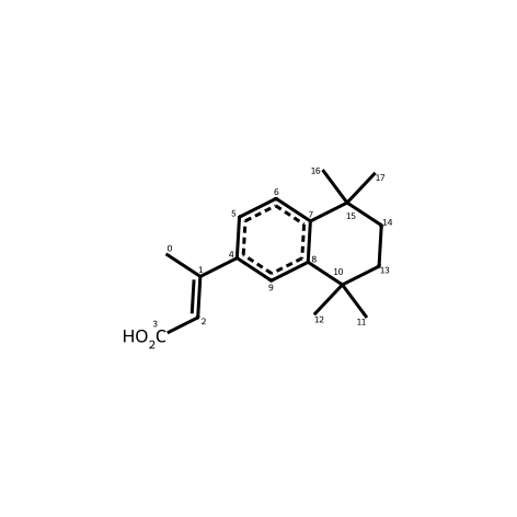 CC(=CC(=O)O)c1ccc2c(c1)C(C)(C)CCC2(C)C